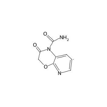 NC(=O)N1C(=O)COc2nc[c]cc21